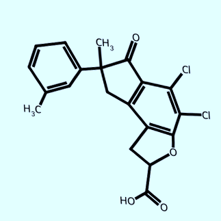 Cc1cccc(C2(C)Cc3c4c(c(Cl)c(Cl)c3C2=O)OC(C(=O)O)C4)c1